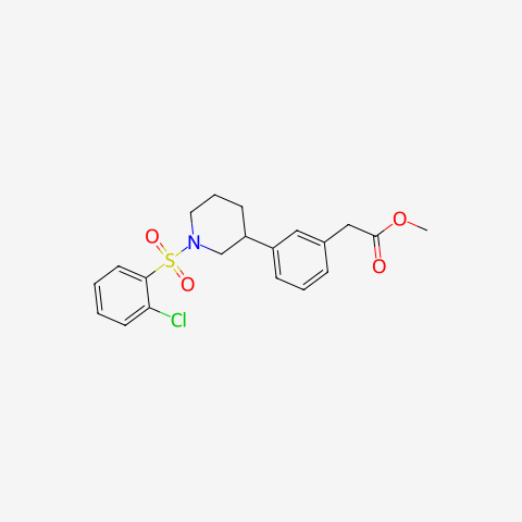 COC(=O)Cc1cccc(C2CCCN(S(=O)(=O)c3ccccc3Cl)C2)c1